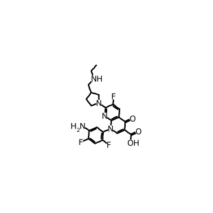 CCNCC1CCN(c2nc3c(cc2F)c(=O)c(C(=O)O)cn3-c2cc(N)c(F)cc2F)C1